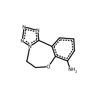 Nc1cccc2c1OCCn1nnnc1-2